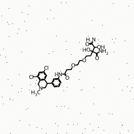 CN1Cc2c(Cl)cc(Cl)cc2C(c2cccc(NC(=O)CCOCCOCCC(O)(C(N)=O)C(O)C(N)=O)c2)C1